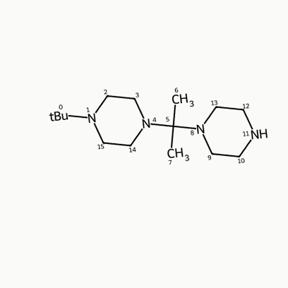 CC(C)(C)N1CCN(C(C)(C)N2CCNCC2)CC1